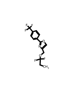 CCC(F)(F)OCc1coc(-c2ccc(C(F)(F)F)cc2)n1